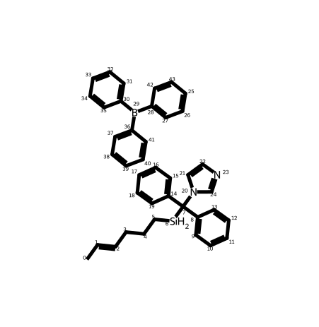 CC=CCCC[SiH2]C(c1ccccc1)(c1ccccc1)n1ccnc1.c1ccc(B(c2ccccc2)c2ccccc2)cc1